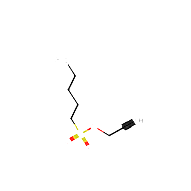 C#CCOS(=O)(=O)CCCCC=O